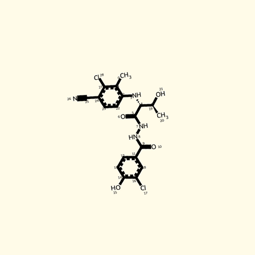 Cc1c(N[C@@H](C(=O)NNC(=O)c2ccc(O)c(Cl)c2)[C@H](C)O)ccc(C#N)c1Cl